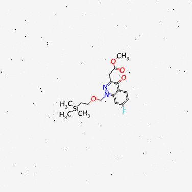 COC(=O)Cc1nn(COCC[Si](C)(C)C)c2cc(F)ccc2c1=O